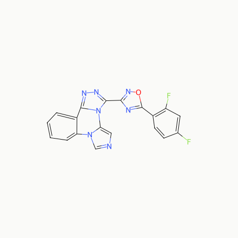 Fc1ccc(-c2nc(-c3nnc4c5ccccc5n5cncc5n34)no2)c(F)c1